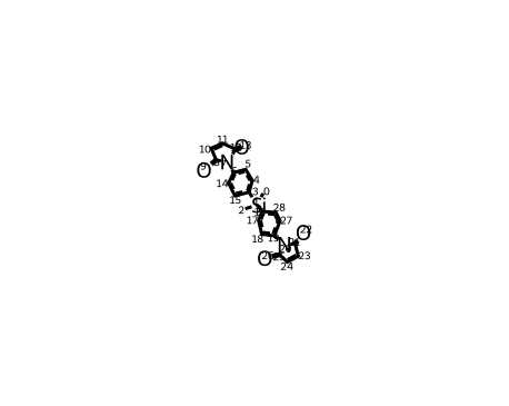 C[Si](C)(c1ccc(N2C(=O)C=CC2=O)cc1)c1ccc(N2C(=O)C=CC2=O)cc1